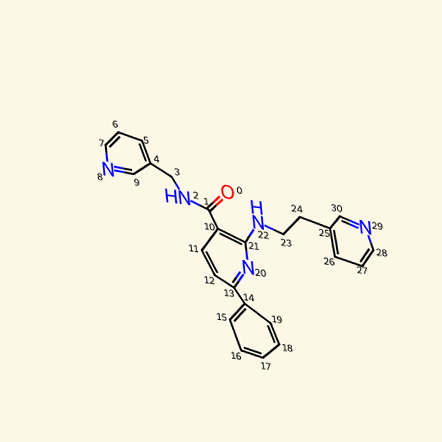 O=C(NCc1cccnc1)c1ccc(-c2ccccc2)nc1NCCc1cccnc1